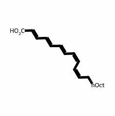 CCCCCCCCC\C=C/C=C\C=C\C=CC=CC(=O)O